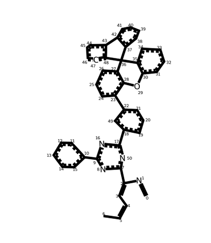 C=N/C(=C\C=C/C)c1nc(-c2ccccc2)nc(-c2cccc(-c3cccc4c3Oc3ccccc3C43c4ccccc4-c4ccccc43)c2)n1